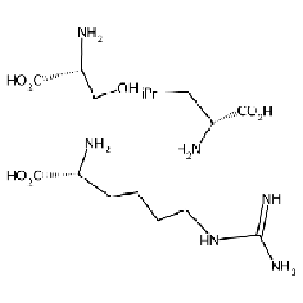 CC(C)C[C@@H](N)C(=O)O.N=C(N)NCCCC[C@@H](N)C(=O)O.N[C@H](CO)C(=O)O